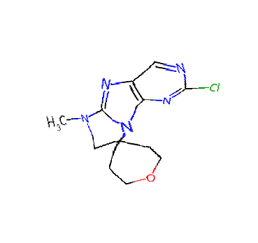 CN1CC2(CCOCC2)n2c1nc1cnc(Cl)nc12